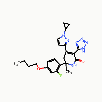 O=C1NC(c2ccc(OCCCC(F)(F)F)cc2F)(C(F)(F)F)CC(c2ccn(C3CC3)n2)=C1c1nnn[nH]1